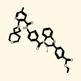 CCOC(=O)c1ccc(C2=Nc3ccccc3N(C(=O)c3ccc(NC(=O)c4cc(C)cnc4N4CC5(CCOCC5)C4)cc3)[C@H]2C)cc1